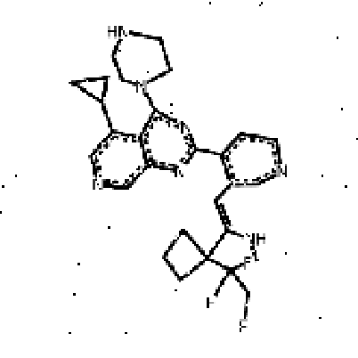 CN/C(=C\c1cnccc1-c1nc(N2CCNCC2)c2c(C3CC3)cncc2n1)C1(C(F)(F)CF)CCC1